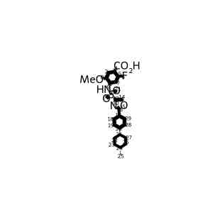 COc1cc(C(=O)O)c(F)cc1NS(=O)(=O)c1coc(-c2ccc([C@H]3CC[C@@H](C)CC3)cc2)n1